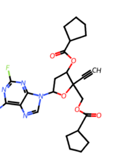 C#CC1(COC(=O)C2CCCC2)OC(n2cnc3c(N)nc(F)nc32)CC1OC(=O)C1CCCC1